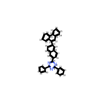 c1ccc(-c2nc(-c3ccccc3)nc(-c3ccc4cc(-c5cc6ccccc6c6ccccc56)ccc4c3)n2)cc1